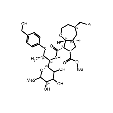 CSC1O[C@H]([C@H](NC(=O)[C@@H]2[C@@H]3OCC[C@@H](CC(C)C)C[C@H]3CN2C(=O)OC(C)(C)C)[C@H](C)Sc2ccc(CO)cc2)C(O)C(O)[C@H]1O